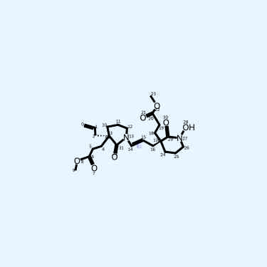 C=CC[C@]1(CCC(=O)OC)CCCN(/C=C/C[C@]2(CCC(=O)OC)CCCN(O)C2=O)C1=O